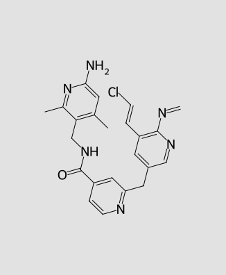 C=Nc1ncc(Cc2cc(C(=O)NCc3c(C)cc(N)nc3C)ccn2)cc1/C=C/Cl